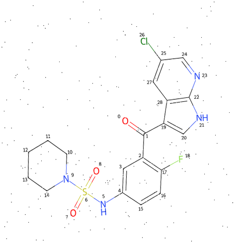 O=C(c1cc(NS(=O)(=O)N2CCCCC2)ccc1F)c1c[nH]c2ncc(Cl)cc12